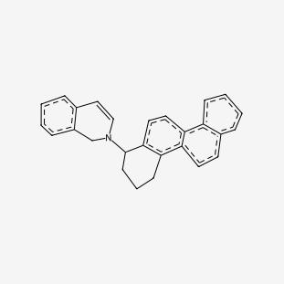 C1=CN(C2CCCc3c2ccc2c3ccc3ccccc32)Cc2ccccc21